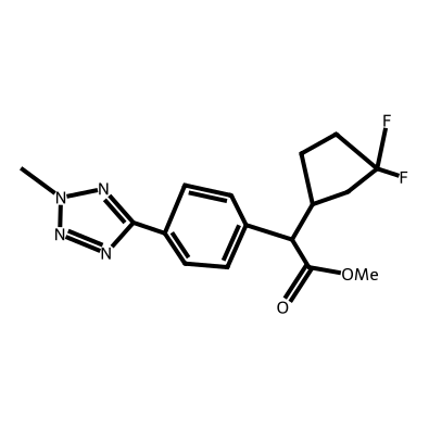 COC(=O)C(c1ccc(-c2nnn(C)n2)cc1)C1CCC(F)(F)C1